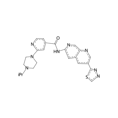 CC(C)N1CCN(c2cc(C(=O)Nc3cc4cc(-c5nncs5)cnc4cn3)ccn2)CC1